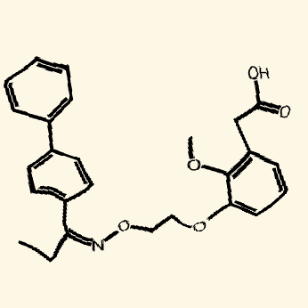 CCC(=NOCCOc1cccc(CC(=O)O)c1OC)c1ccc(-c2ccccc2)cc1